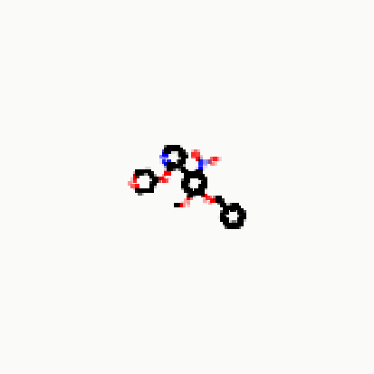 COc1cc(-c2cccnc2OC2CCOCC2)c([N+](=O)[O-])cc1OCc1ccccc1